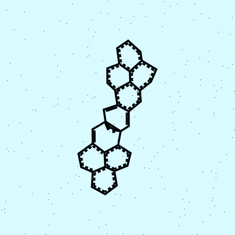 C1=CC23C=c4c(cc5ccc6cccc7ccc4c5c67)=CC2(C=C1)c1ccc2cccc4ccc(c1c24)=C3